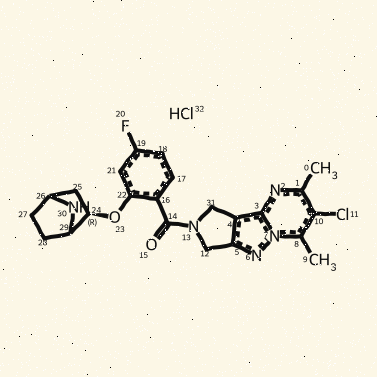 Cc1nc2c3c(nn2c(C)c1Cl)CN(C(=O)c1ccc(F)cc1O[C@@H]1CC2CCC1N2)C3.Cl